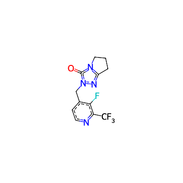 O=c1n(Cc2ccnc(C(F)(F)F)c2F)nc2n1CCC2